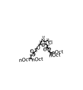 CCCCCCCCC(CCCCCCCC)COC(=O)CCOCC(CN(C)CCCl)OCCC(=O)OCC(CCCCCCCC)CCCCCCCC